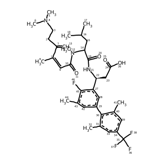 C=C(CCN(C)C)/C(C)=C\C(=O)N(C)C(CC(C)C)C(=O)N[C@@H](CC(=O)O)c1cc(-c2c(C)cc(C(F)(F)F)cc2C)cc(C)c1F